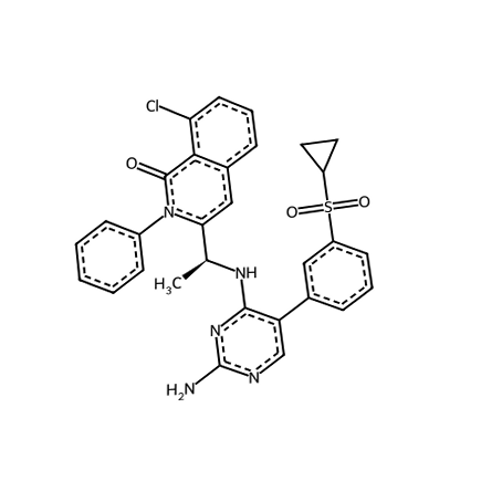 C[C@H](Nc1nc(N)ncc1-c1cccc(S(=O)(=O)C2CC2)c1)c1cc2cccc(Cl)c2c(=O)n1-c1ccccc1